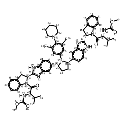 COC(=O)N[C@@H](C(=O)N1c2ccccc2C[C@H]1c1nc2cc([C@H]3CC[C@H](c4ccc5[nH]c([C@@H]6Cc7ccccc7N6C(=O)[C@H](NC(=O)OC)C(C)C)nc5c4)N3c3cc(F)c(N4CCCCC4)c(F)c3)ccc2[nH]1)C(C)C